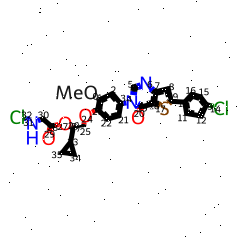 COc1cc(-n2cnc3cc(-c4ccc(Cl)cc4)sc3c2=O)ccc1OC[C@H](OC(=O)CNCl)C1CC1